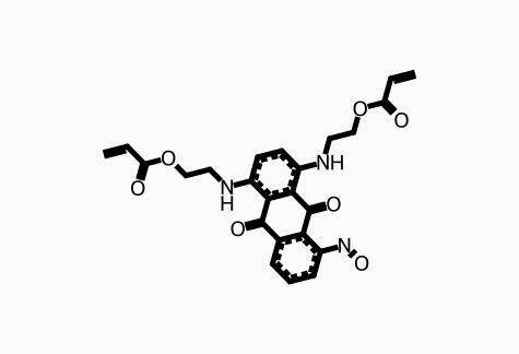 C=CC(=O)OCCNc1ccc(NCCOC(=O)C=C)c2c1C(=O)c1cccc(N=O)c1C2=O